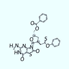 Nc1nc2c(sc(=O)n2[C@@H]2O[C@H](COC(=O)c3ccccc3)C[C@H]2CC(=S)Oc2ccccc2)c(=O)[nH]1